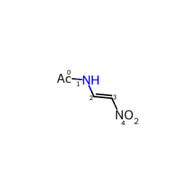 CC(=O)NC=C[N+](=O)[O-]